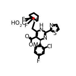 COC(=O)C1=C(CN2C3CCC(C2C(=O)O)C(F)(F)C3)NC(c2nccs2)=N[C@H]1c1ccc(F)cc1Cl